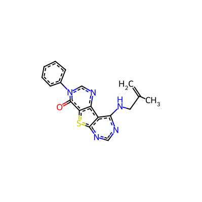 C=C(C)CNc1ncnc2sc3c(=O)n(-c4ccccc4)cnc3c12